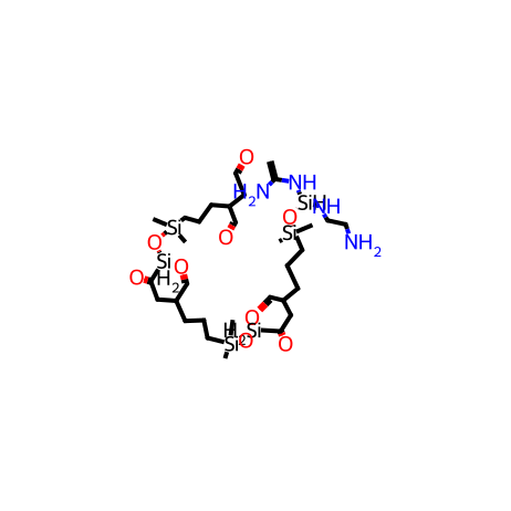 C=C(N)N[SiH](NCCN)O[Si](C)(C)CCCC(C=O)CC(=O)[SiH2]O[Si](C)(C)CCCC(C=O)CC(=O)[SiH2]O[Si](C)(C)CCCC(C=O)CC=O